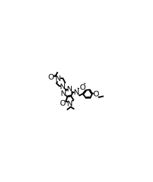 CCOc1ccc(CN(C)c2nc(N3CCN(C(C)=O)CC3)nc3c2CN(C(C)C)C3=O)c(OC)c1